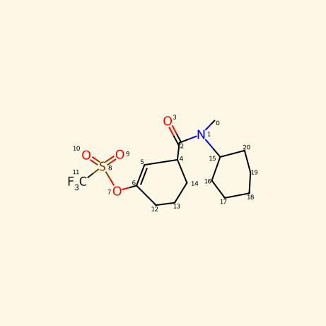 CN(C(=O)C1C=C(OS(=O)(=O)C(F)(F)F)CCC1)C1CCCCC1